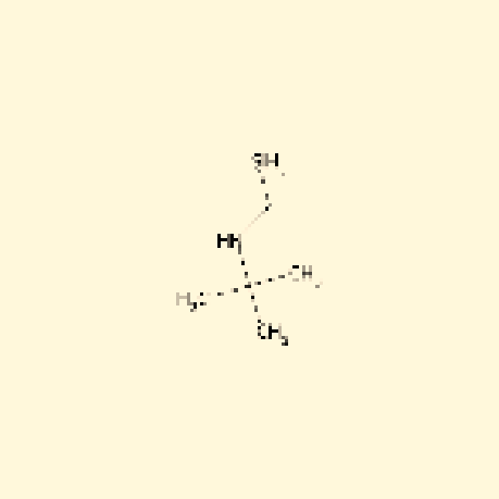 CC(C)(C)NC[SiH3]